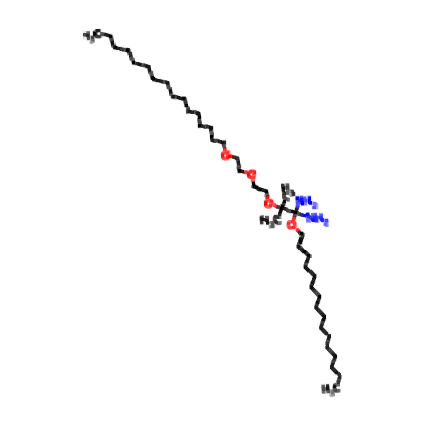 CCCCCCCCCCCCCCCCOCCOCCOC(C)(C)C(N)(N)OCCCCCCCCCCCCCCCC